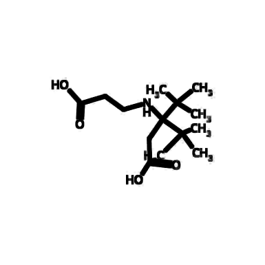 CC(C)(C)C(CC(=O)O)(NCCC(=O)O)C(C)(C)C